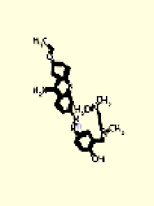 CCOc1ccc2nc3cc(/N=N/c4ccc(O)c(CN(C)CCN(C)C)c4)ccc3c(N)c2c1